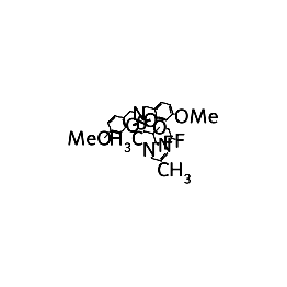 COc1ccc(CN(Cc2ccc(OC)cc2)S(=O)(=O)C(C)C(OCC(F)F)c2ncc(C)cn2)cc1